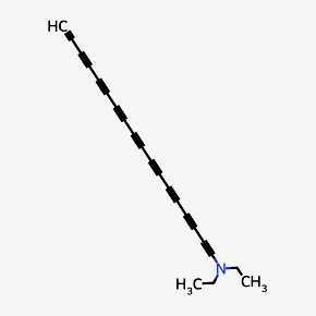 C#CC#CC#CC#CC#CC#CC#CC#CC#CN(CC)CC